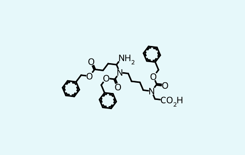 NC(CCC(=O)OCc1ccccc1)N(CCCCN(CC(=O)O)C(=O)OCc1ccccc1)C(=O)OCc1ccccc1